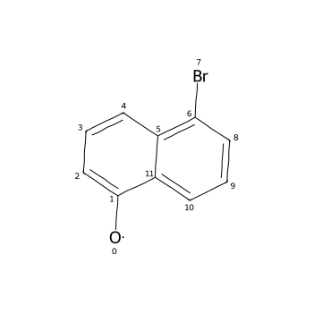 [O]c1cccc2c(Br)cccc12